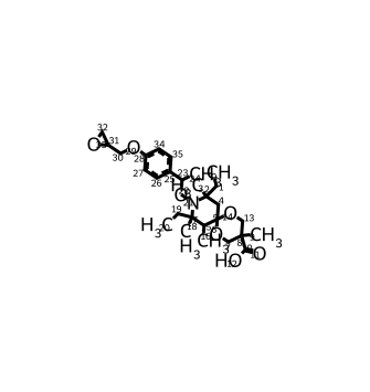 CCC1(C)CC2(OCC(C)(C(=O)O)CO2)C(C)C(C)(CC)N1OC(C)c1ccc(OCC2CO2)cc1